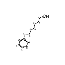 OCCCCCCCc1c[c]ccc1